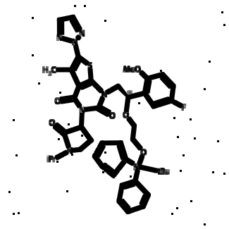 COc1ccc(F)cc1[C@H](Cn1c(=O)n(C2CCN(C(C)C)C2=O)c(=O)c2c(C)c(-n3nccn3)sc21)OCCO[Si](c1ccccc1)(c1ccccc1)C(C)(C)C